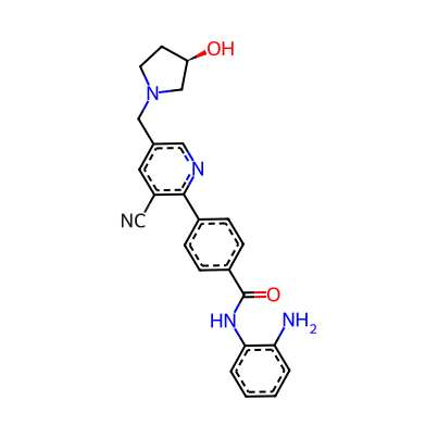 N#Cc1cc(CN2CC[C@@H](O)C2)cnc1-c1ccc(C(=O)Nc2ccccc2N)cc1